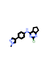 Cn1cc(-c2ccc(Nc3nc(Cl)nc4c3CCC4)cc2)cn1